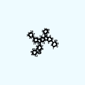 c1ccc(-c2ccc3c(c2)c2cc4c(cc2n3-c2ccccc2)c2cc(-c3ccccc3)ccc2n4-c2ccc3oc4ccccc4c3c2)cc1